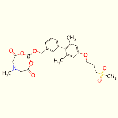 Cc1cc(OCCCS(C)(=O)=O)cc(C)c1-c1cccc(COB2OC(=O)CN(C)CC(=O)O2)c1